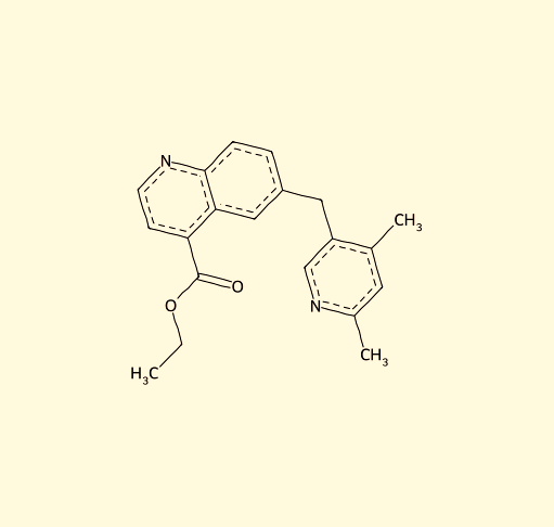 CCOC(=O)c1ccnc2ccc(Cc3cnc(C)cc3C)cc12